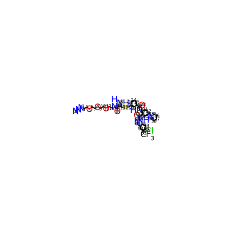 [N-]=[N+]=NCCOCCOCCOCCNC(=O)[C@@H](N)CSCc1cccc(C(=O)Nc2ccc(N3CCCCC3)cc2C(=O)N/N=C\c2ccc(Cl)c(C(F)(F)F)c2)c1